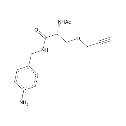 C#CCOC[C@@H](NC(C)=O)C(=O)NCc1ccc(N)cc1